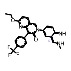 CCOc1ccc2cn(C3=C/C(=C/NC)C(=N)C=C3)c(=O)c(-c3ccc(C(F)(F)F)cc3)c2n1